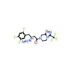 [N-]=[N+]=N[C@H](CC(=O)N1CCn2c(nnc2C(F)(F)F)C1)Cc1cc(F)c(F)cc1F